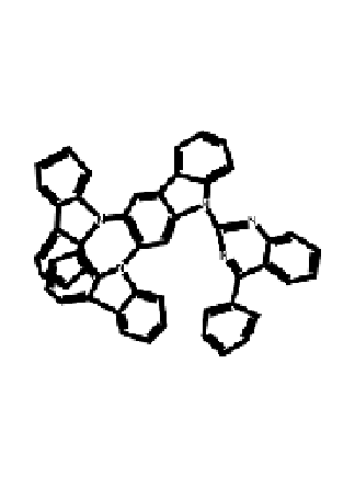 c1ccc(-c2nc(-n3c4ccccc4c4cc(-n5c6ccccc6c6ccccc65)c(-n5c6ccccc6c6ccccc65)cc43)nc3ccccc23)cc1